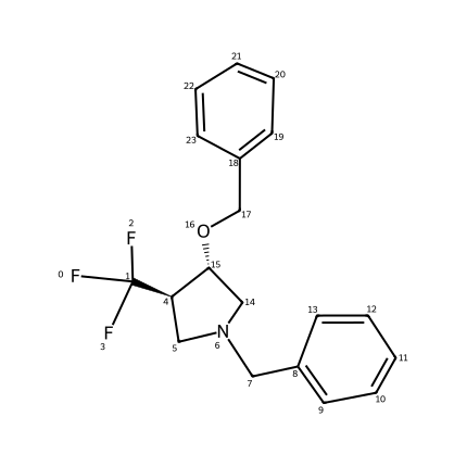 FC(F)(F)[C@@H]1CN(Cc2ccccc2)C[C@H]1OCc1ccccc1